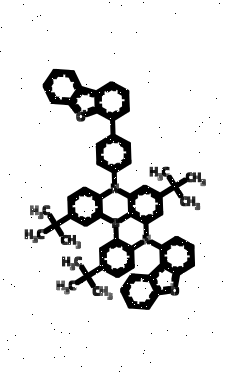 CC(C)(C)c1ccc2c(c1)B1c3cc(C(C)(C)C)ccc3N(c3cccc4oc5ccccc5c34)c3cc(C(C)(C)C)cc(c31)N2c1ccc(-c2cccc3c2oc2ccccc23)cc1